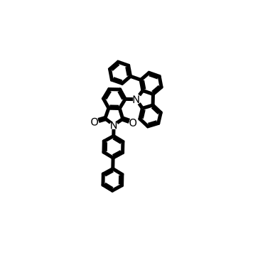 O=C1c2cccc(-n3c4ccccc4c4cccc(-c5ccccc5)c43)c2C(=O)N1c1ccc(-c2ccccc2)cc1